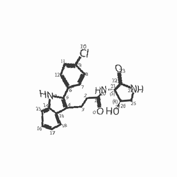 O=C(CCc1c(-c2ccc(Cl)cc2)[nH]c2ccccc12)N[C@@H]1C(=O)NC[C@H]1O